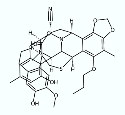 CCCOc1c(C)c2c(c3c1[C@H]1SC[C@]4(NCCc5cc(O)c(OC)cc54)C(=O)OC[C@@H]3N3C1[C@H]1c4c(O)cc(C)cc4C[C@@H]([C@@H]3C#N)N1C)OCO2